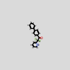 O=C(c1ccc(-c2ccccc2)cc1)C(F)(F)c1ccccn1